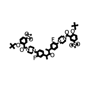 CC(C(=O)C(C)c1ccc(N2CCN(C(=O)c3cc(S(C)(=O)=O)ccc3OCC(C)(C)C)CC2)c(F)c1)c1ccc(N2CCN(C(=O)c3cc(S(C)(=O)=O)ccc3OCC(C)(C)C)CC2)c(F)c1